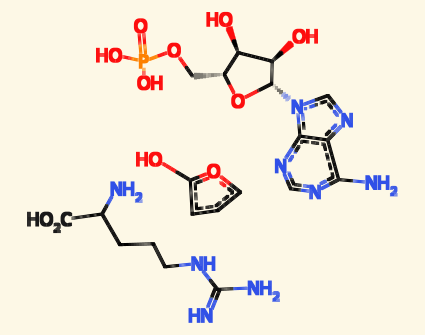 N=C(N)NCCCC(N)C(=O)O.Nc1ncnc2c1ncn2[C@@H]1O[C@H](COP(=O)(O)O)[C@@H](O)[C@H]1O.Oc1ccco1